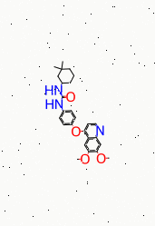 COc1cc2nccc(Oc3ccc(NC(=O)NC4CCCC(C)(C)C4)cc3)c2cc1OC